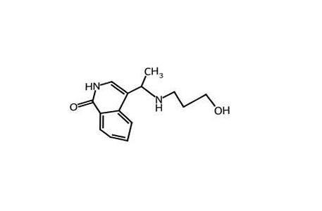 CC(NCCCO)c1c[nH]c(=O)c2ccccc12